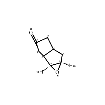 O=C1CC2C[C@H]3O[C@H]3C2C1